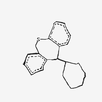 c1ccc2c(c1)Sc1ccccc1C2C1CCCCC1